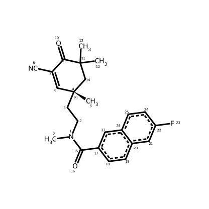 CN(CC[C@]1(C)C=C(C#N)C(=O)C(C)(C)C1)C(=O)c1ccc2cc(F)ccc2c1